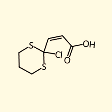 O=C(O)/C=C\C1(Cl)SCCCS1